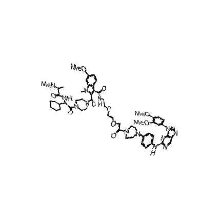 CNC(C)C(=O)NC(C(=O)N1CCN(C(=O)c2c(C(=O)NCCOCCOCC(=O)N3CCN(c4ccc(Nc5ncc6nnn(-c7ccc(OC)c(OC)c7)c6n5)cc4)CC3)c3ccc(OC)cc3n2C)CC1)C1CCCCC1